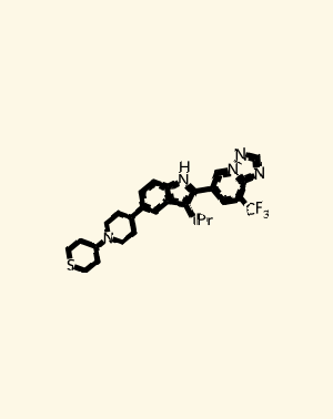 CC(C)c1c(-c2cc(C(F)(F)F)c3ncnn3c2)[nH]c2ccc(C3CCN(C4CCSCC4)CC3)cc12